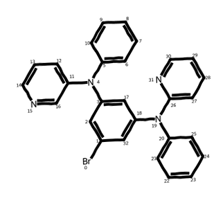 Brc1cc(N(c2ccccc2)c2cccnc2)cc(N(c2ccccc2)c2ccccn2)c1